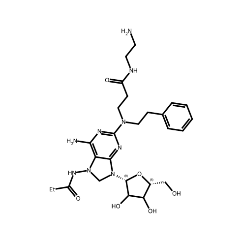 CCC(=O)NN1CN([C@@H]2O[C@H](CO)C(O)C2O)c2nc(N(CCC(=O)NCCN)CCc3ccccc3)nc(N)c21